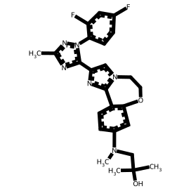 Cc1nc(-c2cn3c(n2)-c2ccc(N(C)CC(C)(C)O)cc2OCC3)n(-c2ccc(F)cc2F)n1